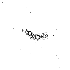 Cc1ccc(S(=O)(=O)O[n+]2ccc(N3CCOCC3)cc2)cc1